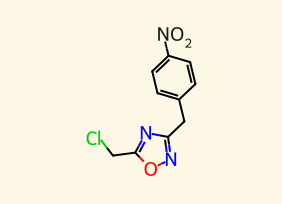 O=[N+]([O-])c1ccc(Cc2noc(CCl)n2)cc1